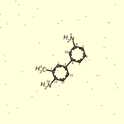 Cc1cc(-c2cccc(N)c2)ccc1N